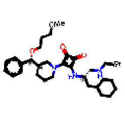 COCCCO[C@@H](c1ccccc1)[C@@H]1CCCN(c2c(N[C@H](CNCC(C)C)CC3CCCCC3)c(=O)c2=O)C1